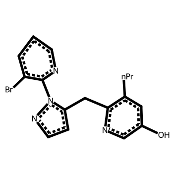 CCCc1cc(O)cnc1Cc1ccnn1-c1ncccc1Br